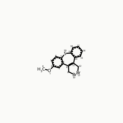 COc1ccc2c(c1)C(CBr)=C(CBr)c1ccccc1S2